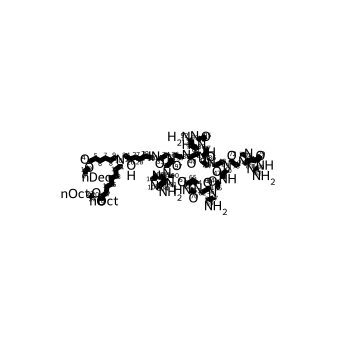 CCCCCCCCCCCOC(=O)CCCCCN(CCCCCCCC(=O)OC(CCCCCCCC)CCCCCCCC)CC(O)CCCCNC(=O)CN(CCNC(=O)CN(CCNC(=O)CN(CCNC(=O)CN(CCN)C(=O)Cn1ccc(=O)[nH]c1=O)C(=O)Cn1cnc2c(=O)[nH]c(N)nc21)C(=O)Cn1ccc(N)nc1=O)C(=O)Cn1cnc2c(N)ncnc21